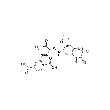 COc1cc2[nH]c(=O)c(=O)[nH]c2cc1NC(=O)C(/N=N/c1cc(C(=O)O)ccc1C(=O)O)C(C)=O